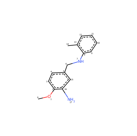 COc1ccc(CNc2ccccc2C)cc1N